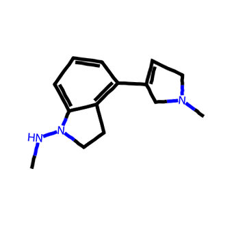 CNN1CCc2c(C3=CCN(C)C3)cccc21